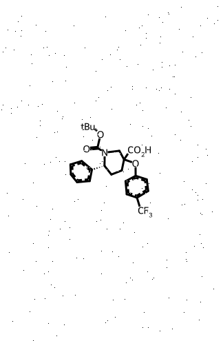 CC(C)(C)OC(=O)N1CC(Oc2ccc(C(F)(F)F)cc2)(C(=O)O)CC[C@@H]1c1ccccc1